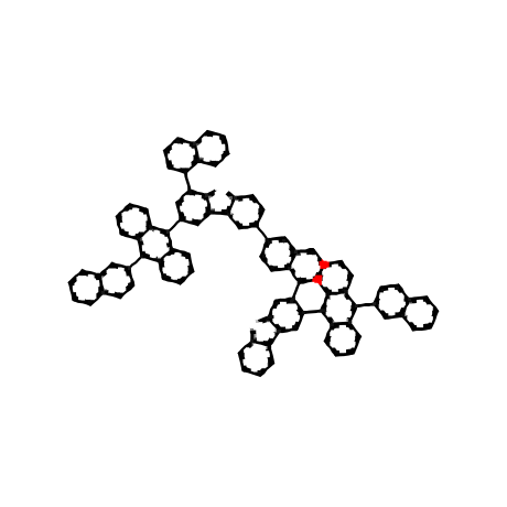 c1ccc2cc(-c3c4ccccc4c(-c4cc(-c5cccc6ccccc56)c5oc6ccc(-c7ccc8c(-c9cc%10oc%11ccccc%11c%10cc9-c9c%10ccccc%10c(-c%10ccc%11ccccc%11c%10)c%10ccccc9%10)cccc8c7)cc6c5c4)c4ccccc34)ccc2c1